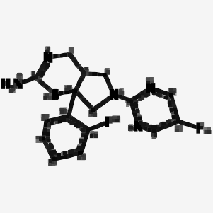 NC1=NCC2CN(c3ncc(F)cn3)CC2(c2ccccc2F)S1